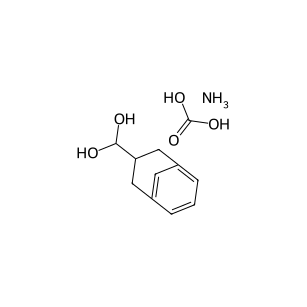 N.O=C(O)O.OC(O)C1Cc2cccc(c2)C1